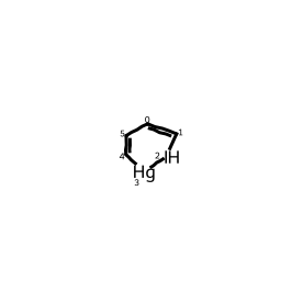 C1=C[IH][Hg][CH]=C1